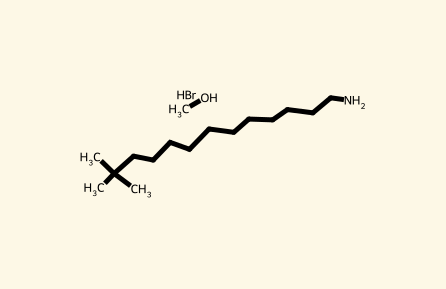 Br.CC(C)(C)CCCCCCCCCCCN.CO